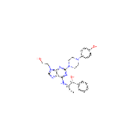 C[C@@H](Nc1nc(N2CCN(c3ccc(O)cc3)CC2)nc2c1ncn2CCO)[C@H](O)c1ccccc1